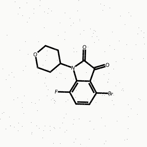 O=C1C(=O)N(C2CCOCC2)c2c(F)ccc(Br)c21